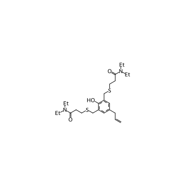 C=CCc1cc(CSCCC(=O)N(CC)CC)c(O)c(CSCCC(=O)N(CC)CC)c1